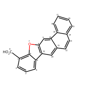 O=C(O)c1cccc2c1oc1cc3c(ccc4ccccc43)cc12